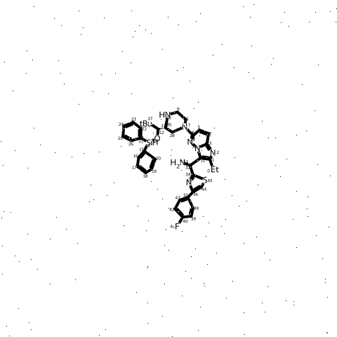 CCc1nc2ccc(N3CCN[C@@H](C(O[SiH](c4ccccc4)c4ccccc4)C(C)(C)C)C3)nn2c1C(N)c1nc(-c2ccc(F)cc2)cs1